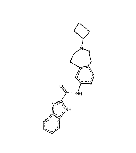 O=C(Nc1ccc2c(c1)CCN(C1CCC1)CC2)c1nc2ccccc2[nH]1